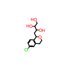 OCC(O)C(O)CC1OCCc2cc(Cl)ccc21